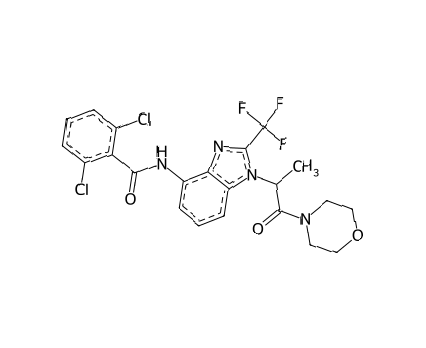 CC(C(=O)N1CCOCC1)n1c(C(F)(F)F)nc2c(NC(=O)c3c(Cl)cccc3Cl)cccc21